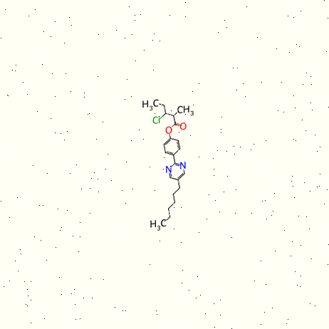 CCCCCCc1cnc(-c2ccc(OC(=O)C(C)C(Cl)CC)cc2)nc1